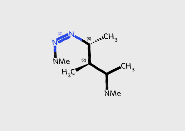 CN/N=N\[C@H](C)[C@H](C)C(C)NC